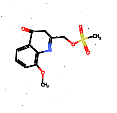 COc1cccc2c1N=C(COS(C)(=O)=O)CC2=O